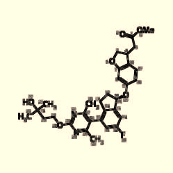 COC(=O)CC1COc2cc(O[C@@H]3CCc4c(-c5c(C)nc(OCCC(C)(C)O)nc5C)cc(F)cc43)ccc21